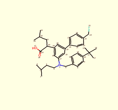 CC(C)CCN(Cc1ccc(C(C)(C)C)cc1)c1cc(-c2ccc(CF)cc2)cc(C(CC(C)C)C(=O)O)c1